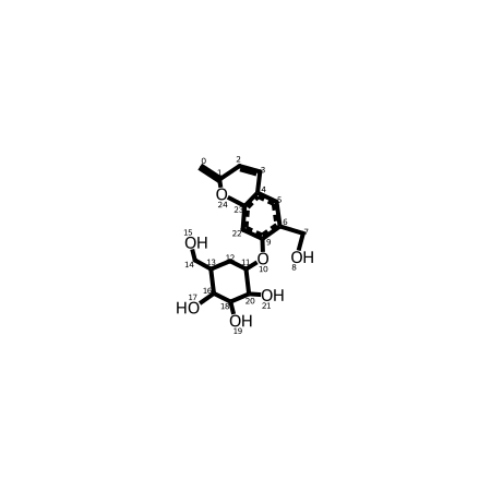 C=C1C=Cc2cc(CO)c(OC3CC(CO)C(O)C(O)C3O)cc2O1